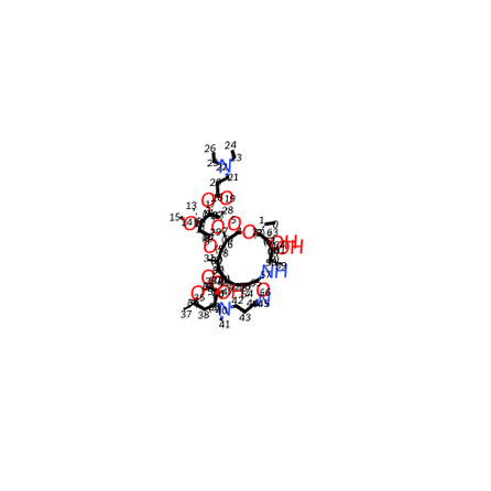 CC[C@H]1OC(=O)[C@H](C)[C@@H](O[C@H]2C[C@@](C)(OC)[C@@H](OC(=O)CCN(CC)CC)[C@H](C)O2)[C@H](C)[C@@H](O[C@@H]2O[C@H](C)C[C@H](N(C)CCC#N)[C@H]2O)[C@](C)(OC)C[C@@H](C)C(=O)N[C@H](C)[C@H](O)[C@]1(C)O